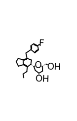 CCCC1=C2CCCC2=C(Cc2ccc(F)cc2)CC1[C@H]1C[C@@H](O)C[C@@H](CO)O1